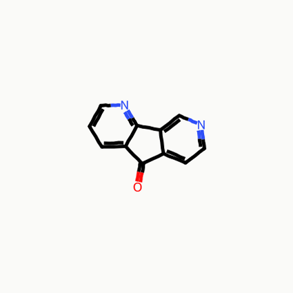 O=C1c2ccncc2-c2ncccc21